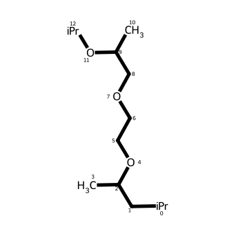 CC(C)CC(C)OCCOCC(C)OC(C)C